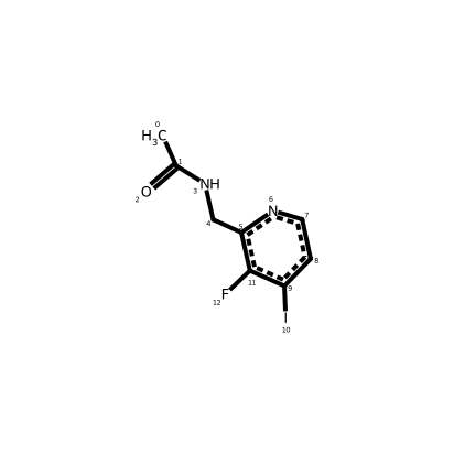 CC(=O)NCc1nccc(I)c1F